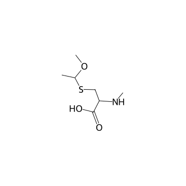 CNC(CSC(C)OC)C(=O)O